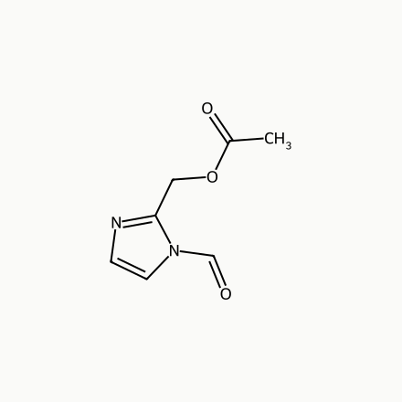 CC(=O)OCc1nccn1C=O